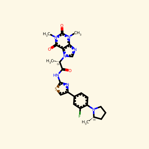 C[C@H]1CCCN1c1ccc(-c2csc(NC(=O)[C@H](C)n3cnc4c3c(=O)n(C)c(=O)n4C)n2)cc1F